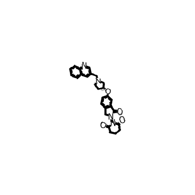 O=C1c2cc(O[C@H]3CCN(Cc4cnc5ccccc5c4)C3)ccc2CN1N1C(=O)CCCC1=O